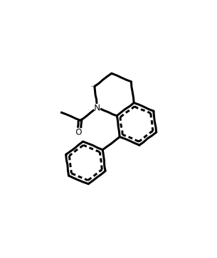 CC(=O)N1[CH]CCc2cccc(-c3ccccc3)c21